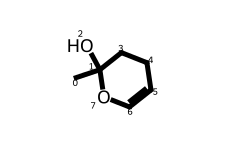 CC1(O)CCC=CO1